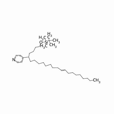 CCCCCCCCC=CCCCCCCCCC(CCCCO[Si](C)(C)C(C)(C)C)c1ccncc1